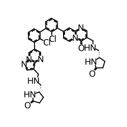 O=C1CC[C@@H](CNCc2cnc3cc(-c4cccc(-c5cccc(-c6cnc7c(CNC[C@@H]8CCC(=O)N8)cnn7c6)c5Cl)c4Cl)ccn3c2=O)N1